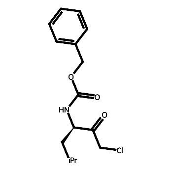 CC(C)C[C@@H](NC(=O)OCc1ccccc1)C(=O)CCl